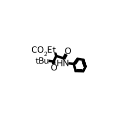 CCOC(=O)C(C(=O)Nc1ccccc1)C(=O)C(C)(C)C